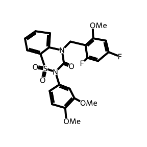 COc1ccc(N2C(=O)N(Cc3c(F)cc(F)cc3OC)c3ccccc3S2(=O)=O)cc1OC